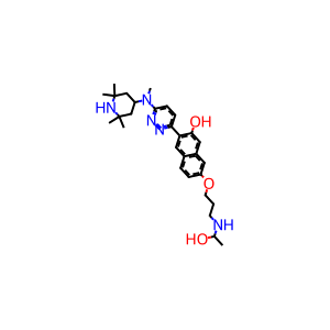 CC(O)NCCCOc1ccc2cc(-c3ccc(N(C)C4CC(C)(C)NC(C)(C)C4)nn3)c(O)cc2c1